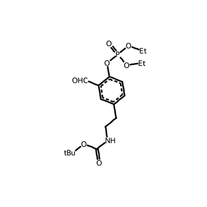 CCOP(=O)(OCC)Oc1ccc(CCNC(=O)OC(C)(C)C)cc1C=O